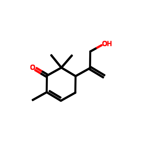 C=C(CO)C1CC=C(C)C(=O)C1(C)C